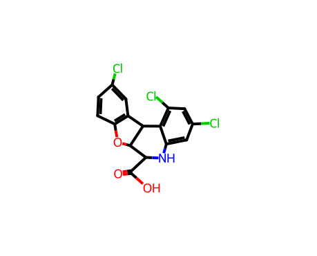 O=C(O)C1Nc2cc(Cl)cc(Cl)c2C2c3cc(Cl)ccc3OC12